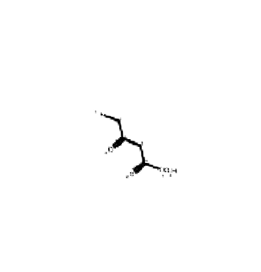 O=C(CF)CC(=O)C(=O)O